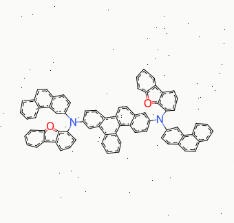 c1ccc2c(c1)ccc1ccc(N(c3ccc4c(ccc5c6ccc(N(c7ccc8ccc9ccccc9c8c7)c7cccc8c7oc7ccccc78)cc6c6ccccc6c45)c3)c3cccc4c3oc3ccccc34)cc12